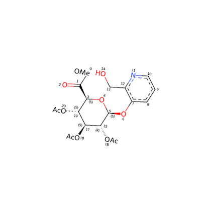 COC(=O)[C@H]1O[C@@H](Oc2cccnc2CO)[C@H](OC(C)=O)[C@@H](OC(C)=O)[C@@H]1OC(C)=O